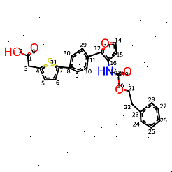 O=C(O)Cc1ccc(-c2ccc(-c3occc3NC(=O)OCCc3ccccc3)cc2)s1